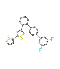 Fc1cc(F)cc(-c2ccc(-c3ccccc3-c3csc(-c4cccs4)c3)cc2)c1